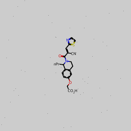 CCCC1c2ccc(OCC(=O)O)cc2CCN1C(=O)/C(C#N)=C/c1nccs1